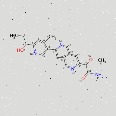 CCC(O)c1cc(C)c(-c2cc3cnc(C(OC)C(N)=O)cc3cn2)cn1